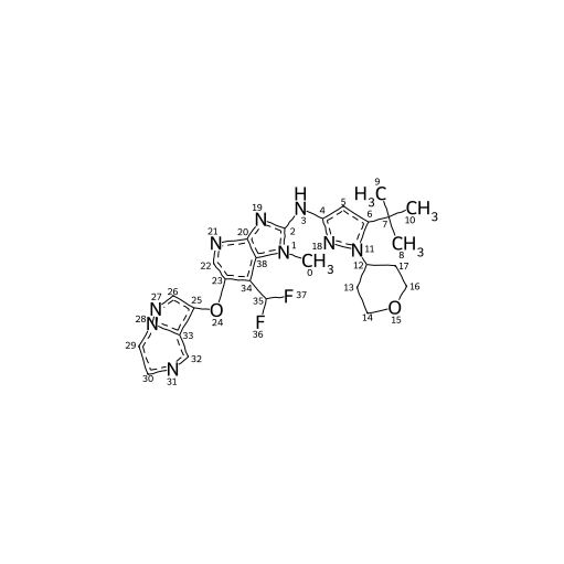 Cn1c(Nc2cc(C(C)(C)C)n(C3CCOCC3)n2)nc2ncc(Oc3cnn4ccncc34)c(C(F)F)c21